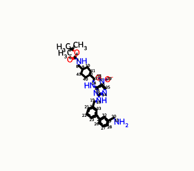 CC(C)(C)OC(=O)NCC1CCC(CNc2nc(NCc3cccc(-c4cccc(CN)c4)c3)ncc2[N+](=O)[O-])CC1